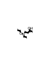 CCON(CC)CCC(C)O